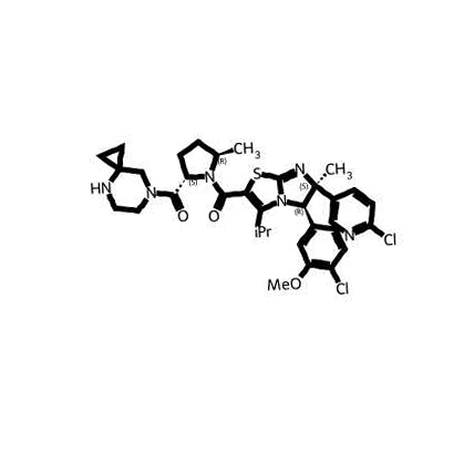 COc1cc([C@H]2N3C(=N[C@@]2(C)c2ccc(Cl)nc2)SC(C(=O)N2[C@H](C)CC[C@H]2C(=O)N2CCNC4(CC4)C2)=C3C(C)C)ccc1Cl